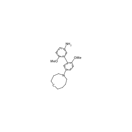 COc1ccc(N)cc1-c1cc(N2CCCCCCCC2)ccc1OC